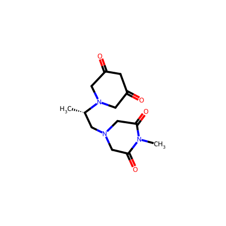 C[C@@H](CN1CC(=O)N(C)C(=O)C1)N1CC(=O)CC(=O)C1